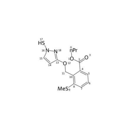 CCCOC(=O)c1cccc(SC)c1COc1ccn(S)n1